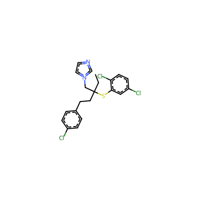 CCC(CCc1ccc(Cl)cc1)(Cn1ccnc1)Sc1cc(Cl)ccc1Cl